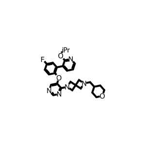 CC(C)Oc1ncccc1-c1cc(F)ccc1Oc1cncnc1N1CC2(CN(CC3CCOCC3)C2)C1